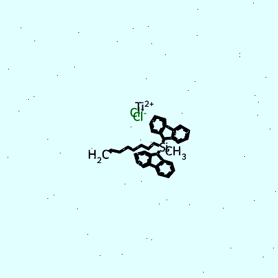 C=CCCCCCC[Si](C)(C1c2ccccc2-c2ccccc21)C1c2ccccc2-c2ccccc21.[Cl-].[Cl-].[Ti+2]